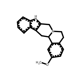 COc1ccc2c(c1)C1Cc3c([nH]c4ccccc34)CN1CC2